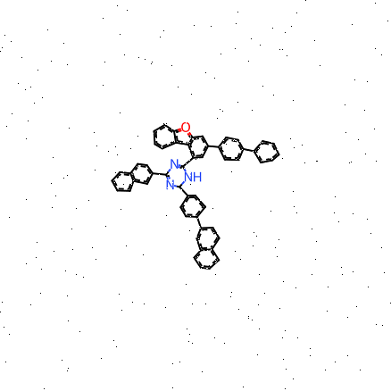 c1ccc(-c2ccc(-c3cc(C4=NC(c5ccc6ccccc6c5)=NC(c5ccc(-c6ccc7ccccc7c6)cc5)N4)c4c(c3)oc3ccccc34)cc2)cc1